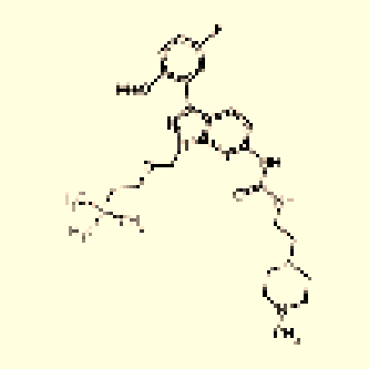 COc1ccc(F)cc1-c1nn(COCC[Si](C)(C)C)c2nc(NC(=O)NCCN3CCN(C)CC3)ccc12